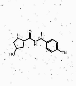 C[C@H](NC(=O)C1CC(O)CN1)c1ccc(C#N)cc1